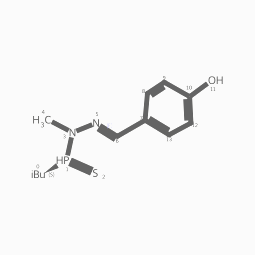 CC[C@H](C)[PH](=S)N(C)/N=C/c1ccc(O)cc1